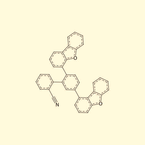 N#Cc1ccccc1-c1cc(-c2cccc3oc4ccccc4c23)ccc1-c1cccc2c1oc1ccccc12